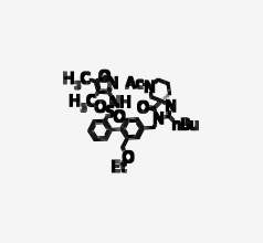 CCCCC1=N[C@@]2(CCCN(C(C)=O)C2)C(=O)N1Cc1ccc(-c2ccccc2S(=O)(=O)Nc2noc(C)c2C)c(COCC)c1